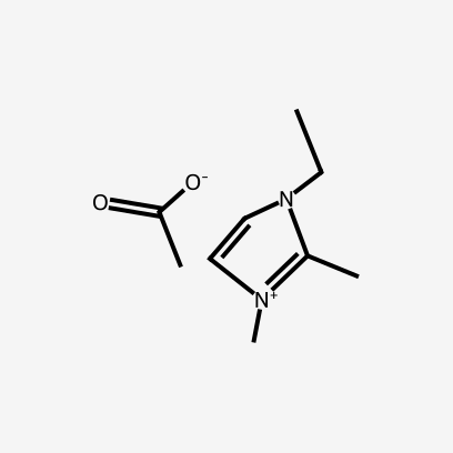 CC(=O)[O-].CCn1cc[n+](C)c1C